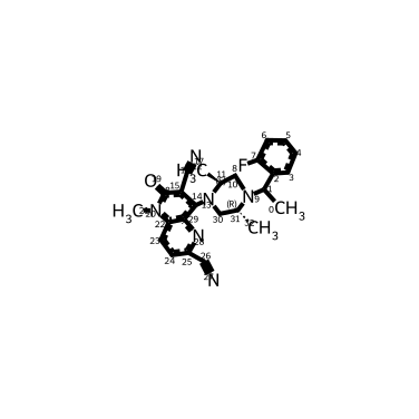 CC(c1ccccc1F)N1C[C@H](C)N(c2c(C#N)c(=O)n(C)c3ccc(C#N)nc23)C[C@H]1C